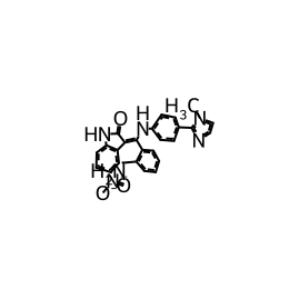 Cn1ccnc1-c1ccc(N/C(=C2\C(=O)Nc3ccc([N+](=O)[O-])cc32)c2ccccc2CN)cc1